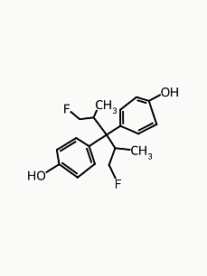 CC(CF)C(c1ccc(O)cc1)(c1ccc(O)cc1)C(C)CF